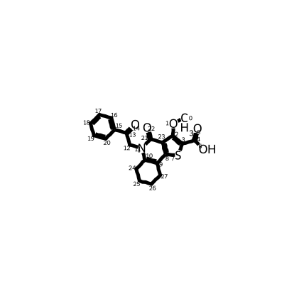 COc1c(C(=O)O)sc2c3c(n(CC(=O)c4ccccc4)c(=O)c12)CCCC3